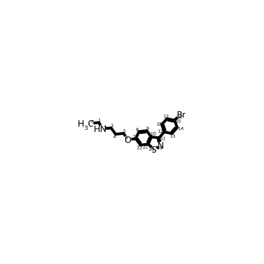 CCNCCCOc1ccc2c(-c3ccc(Br)cc3)nsc2c1